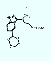 COCCCN(C)c1n[nH]c2ccc(C3OCCCO3)cc12